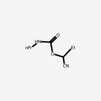 CCCNC(=O)OC(C#N)CC